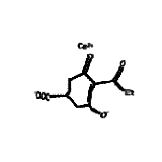 CCC(=O)C1=C([O-])CC(C(=O)[O-])CC1=O.[Ca+2]